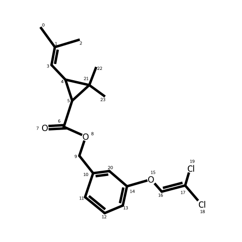 CC(C)=CC1C(C(=O)OCc2cccc(OC=C(Cl)Cl)c2)C1(C)C